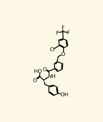 O=C(N[C@@H](Cc1ccc(O)cc1)C(=O)O)c1cccc(COc2ccc(C(F)(F)F)cc2Cl)c1